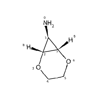 N[C@@H]1[C@H]2OCCO[C@@H]12